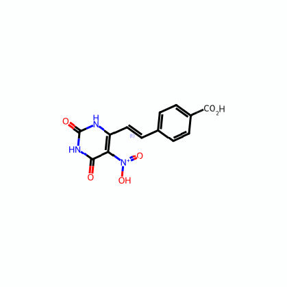 O=C(O)c1ccc(/C=C/c2[nH]c(=O)[nH]c(=O)c2[N+](=O)O)cc1